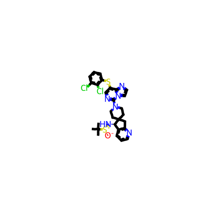 CC(C)(C)[S@@+]([O-])N[C@H]1c2cccnc2CC12CCN(c1ncc(Sc3cccc(Cl)c3Cl)c3nccn13)CC2